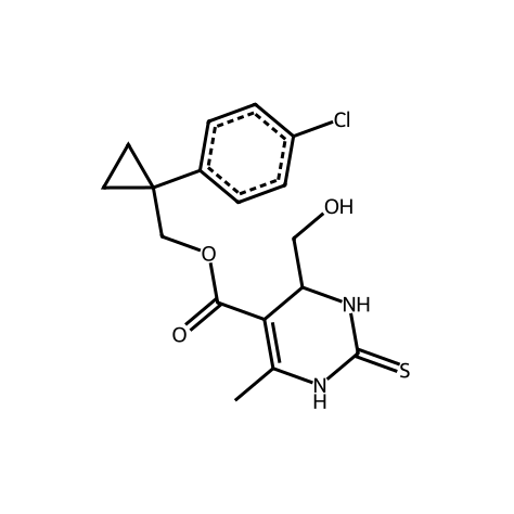 CC1=C(C(=O)OCC2(c3ccc(Cl)cc3)CC2)C(CO)NC(=S)N1